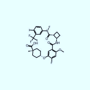 COc1cc(F)c(O[C@H]2CC[C@@](C)(C(=O)O)CC2)cc1C(=O)N[C@@H]1CC[C@@H]1C(=O)N(F)c1ccc(I)c(C(F)(F)I)c1